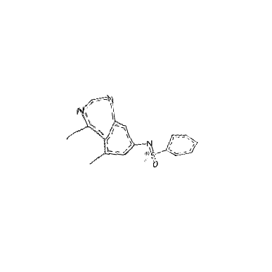 Cc1cc(N=[S@](C)(=O)c2ccccc2)cc2ncnc(C)c12